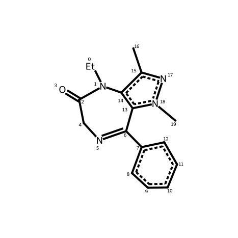 CCN1C(=O)CN=C(c2ccccc2)c2c1c(C)nn2C